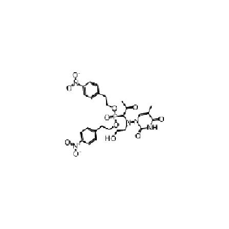 CC(=O)C(N(CCO)n1cc(C)c(=O)[nH]c1=O)P(=O)(OCCc1ccc([N+](=O)[O-])cc1)OCCc1ccc([N+](=O)[O-])cc1